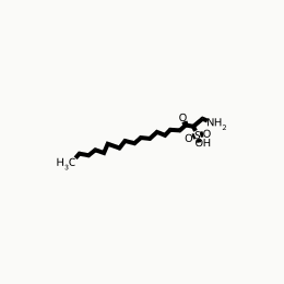 CCCCCCCCCCCCCCCC(=O)C(CN)S(=O)(=O)O